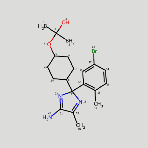 BC(B)(O)OC1CCC(C2(c3cc(Br)ccc3C)N=C(C)C(N)=N2)CC1